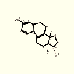 CC[C@]12CCC3=C(CCc4cc(OC)ccc43)[C@@H]1CC[C@@H]2O